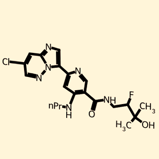 CCCNc1cc(-c2cnc3cc(Cl)cnn23)ncc1C(=O)NCC(F)C(C)(C)O